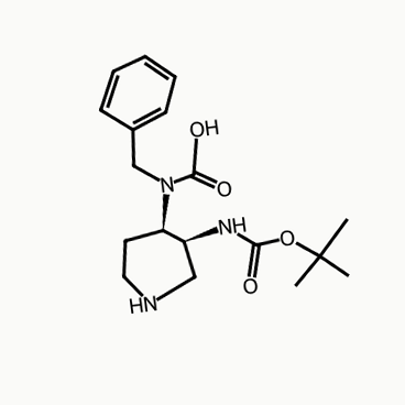 CC(C)(C)OC(=O)N[C@H]1CNCC[C@H]1N(Cc1ccccc1)C(=O)O